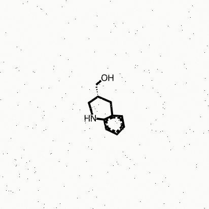 OC[C@H]1CNc2ccccc2C1